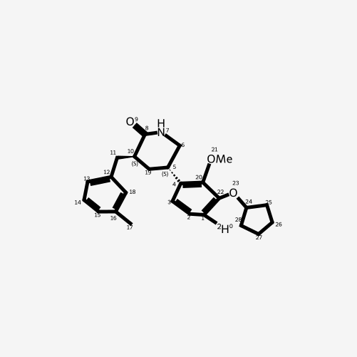 [2H]c1ccc([C@H]2CNC(=O)[C@H](Cc3cccc(C)c3)C2)c(OC)c1OC1CCCC1